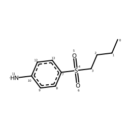 CCCCS(=O)(=O)c1ccc([NH])cc1